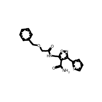 NC(=O)c1c(-c2cccs2)noc1NC(=O)COCc1ccccc1